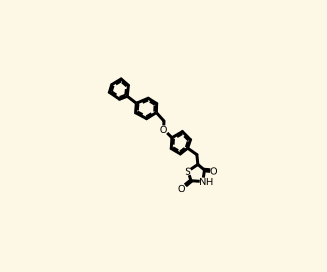 O=C1NC(=O)C(Cc2ccc(OCc3ccc(-c4ccccc4)cc3)cc2)S1